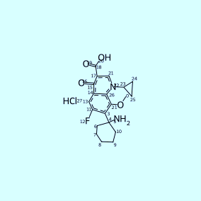 COc1c(C2(N)CCCCC2)c(F)cc2c(=O)c(C(=O)O)cn(C3CC3)c12.Cl